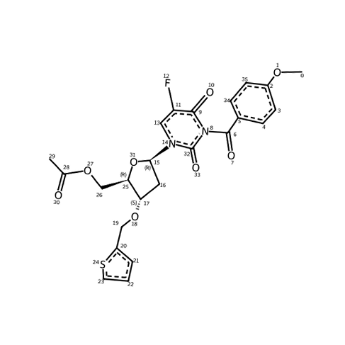 COc1ccc(C(=O)n2c(=O)c(F)cn([C@H]3C[C@H](OCc4cccs4)[C@@H](COC(C)=O)O3)c2=O)cc1